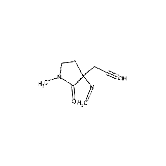 C#CCC1(N=C)CCN(C)C1=O